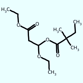 CCOC(=O)CC(OCC)OC(=O)C(C)(C)CC